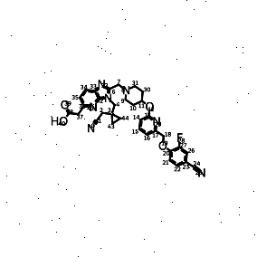 N#CCC1(Cn2c(CN3CCC(Oc4cccc(COc5ccc(C#N)cc5F)n4)CC3)nc3ccc(CC(=O)O)nc32)CC1